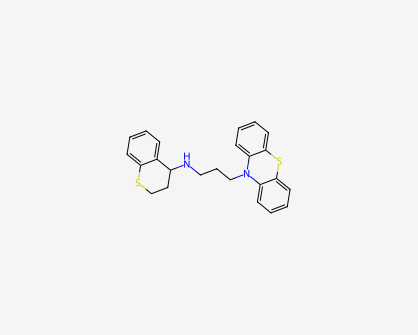 c1ccc2c(c1)SCCC2NCCCN1c2ccccc2Sc2ccccc21